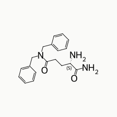 NC(=O)[C@@H](N)CCC(=O)N(Cc1ccccc1)Cc1ccccc1